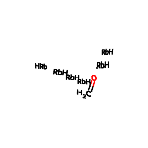 C=O.[RbH].[RbH].[RbH].[RbH].[RbH].[RbH]